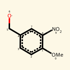 COc1ccc(C[O])cc1[N+](=O)[O-]